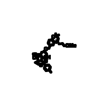 COCCCN1CC(C)(C)Oc2ccc(CO[C@@H]3CC[C@@H](C(C4(C(=O)OC(C)(C)C)CC4)S(=O)(=O)c4ccc(C)cc4)NC3)cc21